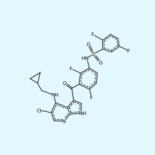 O=C(c1c(F)ccc(NS(=O)(=O)c2cc(F)ccc2F)c1F)c1c[nH]c2ncc(Cl)c(NCC3CC3)c12